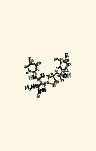 Cc1cc(NC(=O)c2c(C3CC4CC(O)(c5ccc(F)c(C)c5)CC4C3)nn(C)c2N)ccc1F